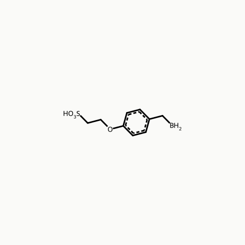 BCc1ccc(OCCS(=O)(=O)O)cc1